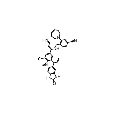 C=CC(c1ccc2[nH]c(=O)[nH]c2c1)c1cc(/C(=C/C=N)NCc2ccc(C#N)cc2N2CCC=CCC2)cc(Cl)c1N=C